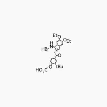 Br.CCOc1cc2c(cc1OCC)C(=N)N(CC(=O)c1ccc(OCC(=O)O)c(C(C)(C)C)c1)C2